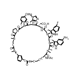 COc1ccc(C[C@H]2C(=O)N3CCCC3C(=O)N(C)CCC(=O)N(C)Cc3cccc(c3)CC(=O)NCCCC[C@@H](NC(C)=O)C(=O)N(C)[C@H](C)C(=O)N(C)[C@@H](Cc3c[nH]c4ccc(P)cc34)C(=O)N(C)[C@@H](Cc3c[nH]c4ccc(F)cc34)C(=O)N[C@@H](CC(=O)O)C(=O)N[C@@H](Cc3cncn3C)C(=O)N2C)cc1